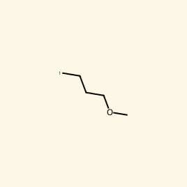 [CH]CCCOC